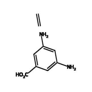 C=C.Nc1cc(N)cc(C(=O)O)c1